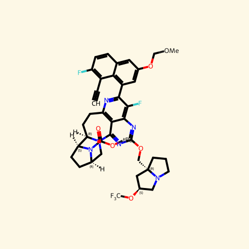 C#Cc1c(F)ccc2cc(OCOC)cc(-c3nc4c5c(nc(OC[C@]67CCCN6C[C@@H](OC(F)(F)F)C7)nc5c3F)N3C[C@H]5CC[C@@H]([C@H]3CC4)N5C(=O)OC(C)(C)C)c12